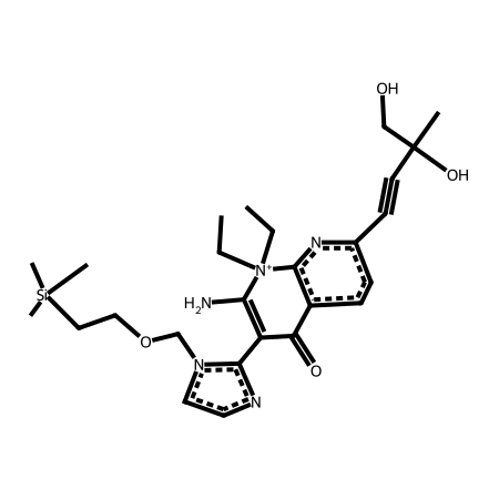 CC[N+]1(CC)C(N)=C(c2nccn2COCC[Si](C)(C)C)C(=O)c2ccc(C#CC(C)(O)CO)nc21